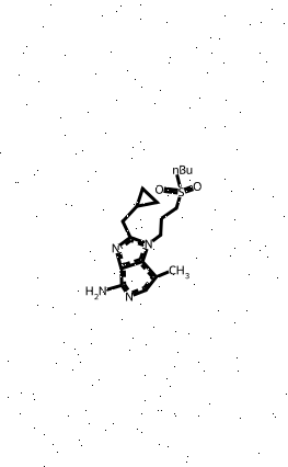 CCCCS(=O)(=O)CCCn1c(CC2CC2)nc2c(N)ncc(C)c21